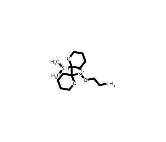 CCCO[SiH2]C1(C2([SiH](C)C)CCCCO2)CCCCO1